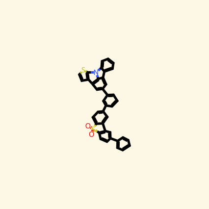 O=S1(=O)c2ccc(-c3ccccc3)cc2-c2cc(-c3cccc(-c4cc5c6ccccc6n6c7sccc7c(c4)c56)c3)ccc21